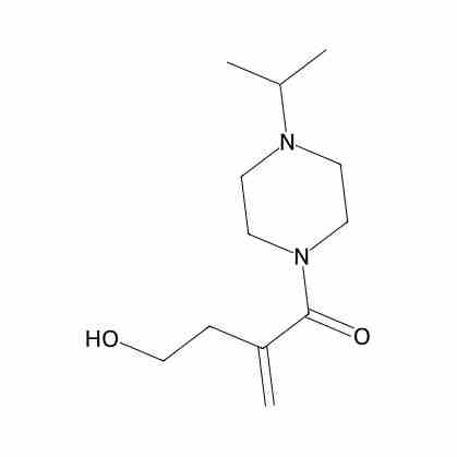 C=C(CCO)C(=O)N1CCN(C(C)C)CC1